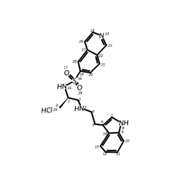 C[C@H](CNCCc1c[nH]c2ccccc12)NS(=O)(=O)c1ccc2cnccc2c1.Cl